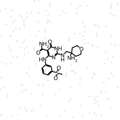 CS(=O)(=O)c1cccc(Nc2nc(NCC3(N)CCOCC3)[nH]c(=O)c2C(N)=O)c1